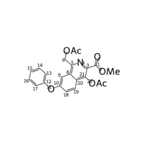 COC(=O)c1nc(COC(C)=O)c2cc(Oc3ccccc3)ccc2c1OC(C)=O